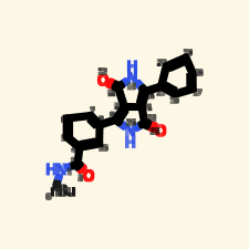 CCCCNC(=O)c1cccc(C2=C3C(=O)NC(c4ccccc4)=C3C(=O)N2)c1